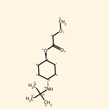 COCC(=O)O[C@H]1CC[C@H](NC(C)(C)C)CC1